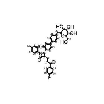 Cc1ccc(N2C(=O)[C@H](CCC(=O)c3ccc(F)cc3)[C@H]2c2ccc(-c3ccc(C[C@@H]4O[C@H](CO)[C@@H](O)[C@H](O)[C@H]4O)cc3)cc2O)cc1